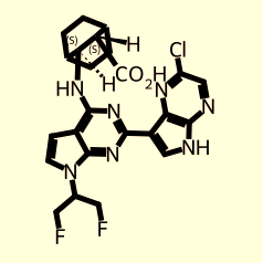 O=C(O)[C@H]1C2CCC(CC2)[C@@H]1Nc1nc(-c2c[nH]c3ncc(Cl)nc23)nc2c1ccn2C(CF)CF